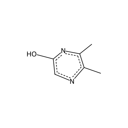 Cc1ncc(O)nc1C